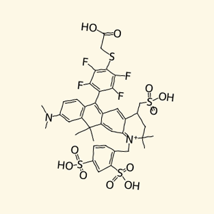 CN(C)c1ccc2c(c1)C(C)(C)c1cc3c(cc1=C2c1c(F)c(F)c(SCC(=O)O)c(F)c1F)C(CS(=O)(=O)O)CC(C)(C)[N+]=3Cc1ccc(S(=O)(=O)O)cc1S(=O)(=O)O